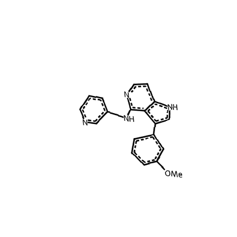 COc1cccc(-c2c[nH]c3ccnc(Nc4cccnc4)c23)c1